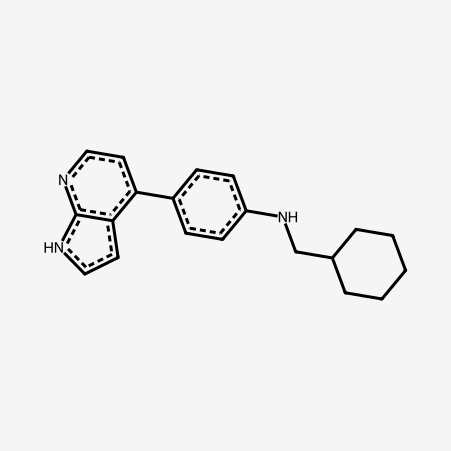 c1cc(-c2ccc(NCC3CCCCC3)cc2)c2cc[nH]c2n1